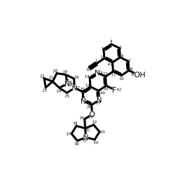 C#Cc1cccc2cc(O)cc(-c3ncc4c(N5CC6CC7(CC7)C(C5)N6)nc(OCC56CCCN5CCC6)nc4c3F)c12